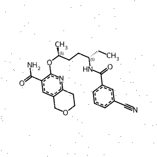 CC[C@@H](CC[C@H](C)Oc1nc2c(cc1C(N)=O)COCC2)NC(=O)c1cccc(C#N)c1